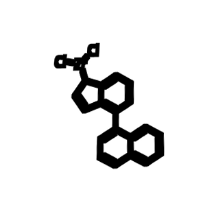 [Cl][Zr]([Cl])[CH]1C=Cc2c(-c3cccc4ccccc34)cccc21